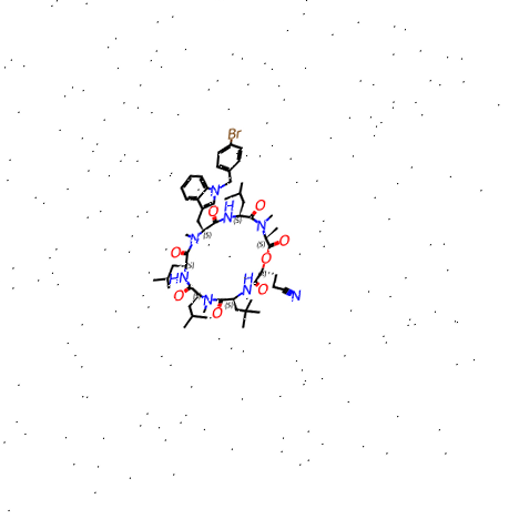 CC(C)C[C@@H]1NC(=O)[C@H](Cc2cn(Cc3ccc(Br)cc3)c3ccccc23)N(C)C(=O)[C@H](CC(C)C)NC(=O)[C@H](CC(C)C)N(C)C(=O)[C@H](CC(C)(C)C)NC(=O)[C@@H](CCC#N)OC(=O)[C@H](C)N(C)C1=O